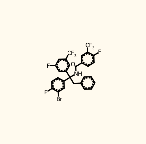 O=C(NC(Cc1ccccc1)(c1cc(F)cc(C(F)(F)F)c1)c1ccc(F)c(Br)c1)c1ccc(F)c(C(F)(F)F)c1